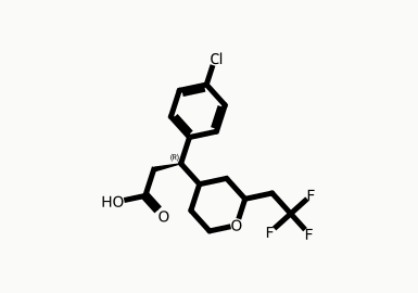 O=C(O)C[C@@H](c1ccc(Cl)cc1)C1CCOC(CC(F)(F)F)C1